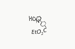 CCOC(=O)CC1CC=C(c2cccc(O)n2)CC1